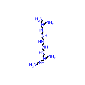 NCCNCCN(CCN)CCNCCNCCNCCNCCNCCN(CCN)CCN